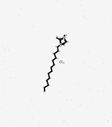 CCCCCCCCCCCCCCn1cc[n+](C)c1C.[Cl-]